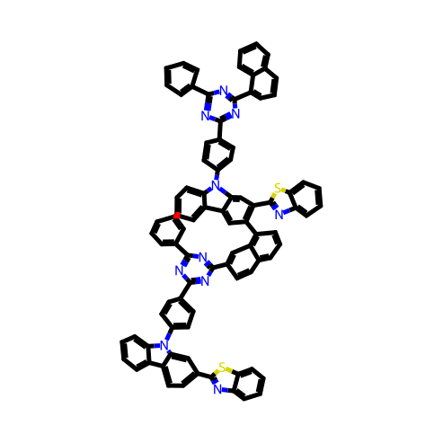 c1ccc(-c2nc(-c3ccc(-n4c5ccccc5c5ccc(-c6nc7ccccc7s6)cc54)cc3)nc(-c3ccc4cccc(-c5cc6c7ccccc7n(-c7ccc(-c8nc(-c9ccccc9)nc(-c9cccc%10ccccc9%10)n8)cc7)c6cc5-c5nc6ccccc6s5)c4c3)n2)cc1